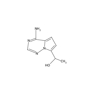 CC(O)c1ccc2c(N)ncnn12